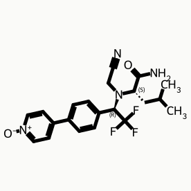 CC(C)C[C@@H](C(N)=O)N(CC#N)[C@H](c1ccc(-c2cc[n+]([O-])cc2)cc1)C(F)(F)F